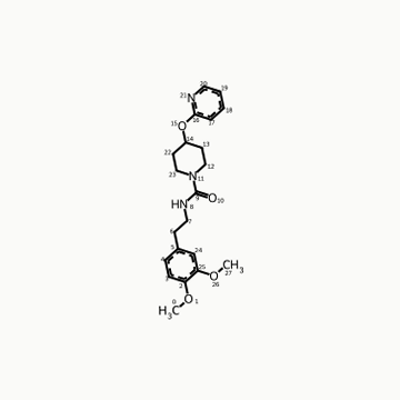 COc1ccc(CCNC(=O)N2CCC(Oc3ccccn3)CC2)cc1OC